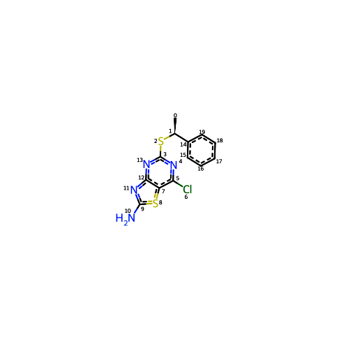 C[C@H](Sc1nc(Cl)c2sc(N)nc2n1)c1ccccc1